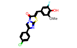 COc1cc(/C=c2\sc3nc(-c4ccc(Cl)cc4)cn3c2=O)cc(F)c1O